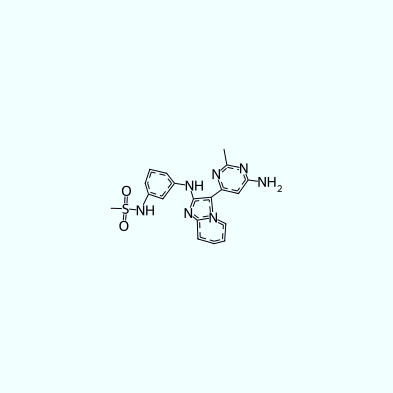 Cc1nc(N)cc(-c2c(Nc3cccc(NS(C)(=O)=O)c3)nc3ccccn23)n1